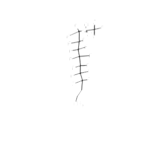 CCCC(F)(F)C(F)(F)C(F)(F)C(F)(F)C(F)(F)C(F)(F)C(F)(F)[Si](Cl)(Cl)C(F)(F)F